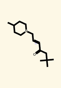 CC1CCN(C/C=C/C(=O)CC(C)(C)C)CC1